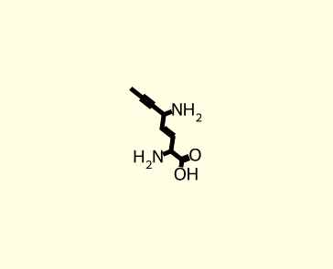 CC#CC(N)C=CC(N)C(=O)O